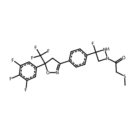 CSCC(=O)N1CC(F)(c2ccc(C3=NOC(c4cc(F)c(F)c(F)c4)(C(F)(F)F)C3)cc2)N1